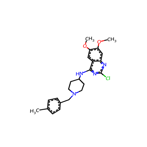 COc1cc2nc(Cl)nc(NC3CCN(Cc4ccc(C)cc4)CC3)c2cc1OC